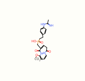 CC(=N)Nc1ccc(CC[P@](=O)(O)CC2=CCC(=O)N3C=CC=C(OC(=O)O)N3C2=O)cc1